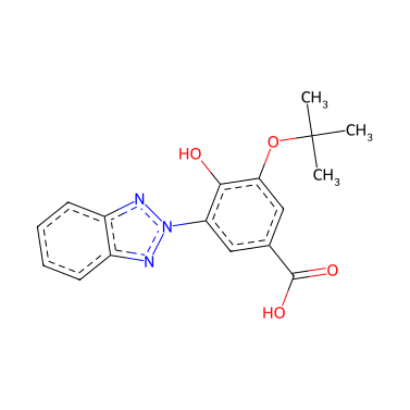 CC(C)(C)Oc1cc(C(=O)O)cc(-n2nc3ccccc3n2)c1O